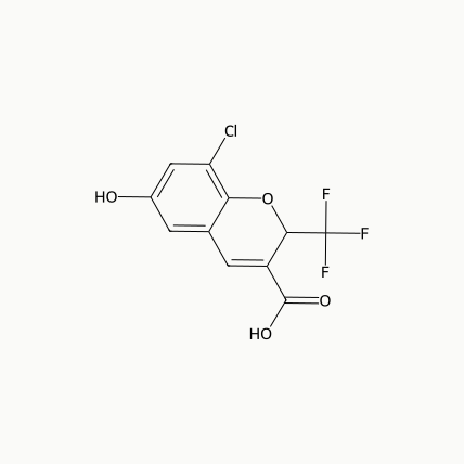 O=C(O)C1=Cc2cc(O)cc(Cl)c2OC1C(F)(F)F